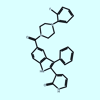 O=C(c1ccc2[nH]c(-c3ccc[nH]c3=O)c(-c3ccccc3)c2c1)N1CCN(c2ccccc2F)CC1